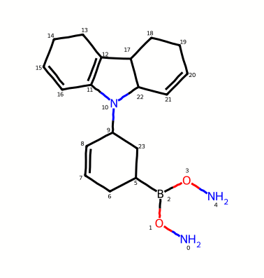 NOB(ON)C1CC=CC(N2C3=C(CCC=C3)C3CCC=CC32)C1